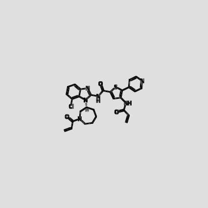 C=CC(=O)Nc1cc(C(=O)Nc2nc3cccc(Cl)c3n2[C@@H]2CCCCN(C(=O)C=C)C2)sc1-c1ccncc1